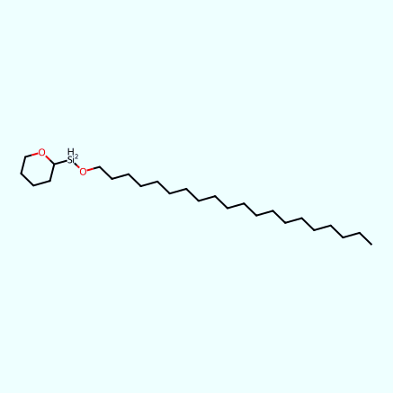 CCCCCCCCCCCCCCCCCCCCO[SiH2]C1CCCCO1